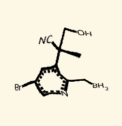 BCc1ncc(Br)cc1C(C)(C#N)CO